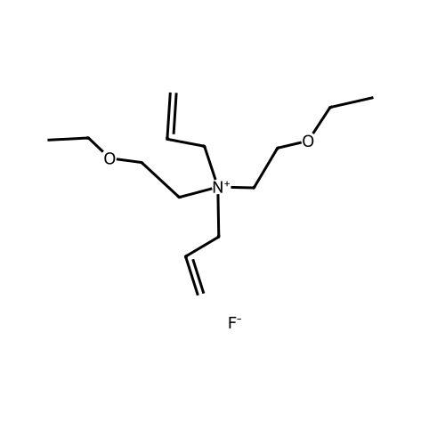 C=CC[N+](CC=C)(CCOCC)CCOCC.[F-]